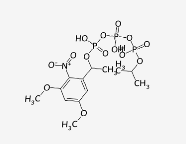 COc1cc(OC)c([N+](=O)[O-])c(C(C)OP(=O)(O)OP(=O)(O)OP(=O)(O)OC(C)C)c1